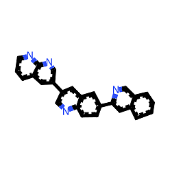 c1ccc2cc(-c3ccc4ncc(-c5cnc6ncccc6c5)cc4c3)ncc2c1